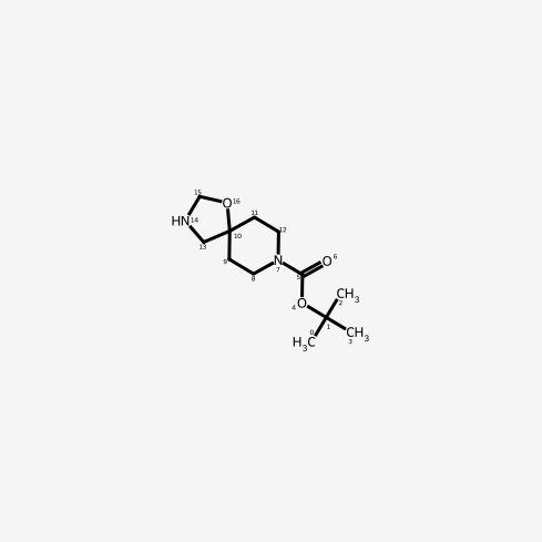 CC(C)(C)OC(=O)N1CCC2(CC1)CNCO2